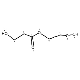 O=C(CCO)OCCCO